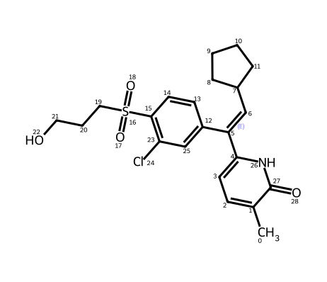 Cc1ccc(/C(=C/C2CCCC2)c2ccc(S(=O)(=O)CCCO)c(Cl)c2)[nH]c1=O